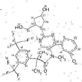 CN(C(=O)C(C)(C)c1cc(C(F)(F)F)cc(C(F)(F)F)c1)c1cnc(N2CC(O)CC2CO)cc1-c1cccc(Cl)c1